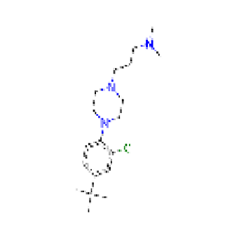 CN(C)CCCN1CCN(c2ccc(C(C)(C)C)cc2Cl)CC1